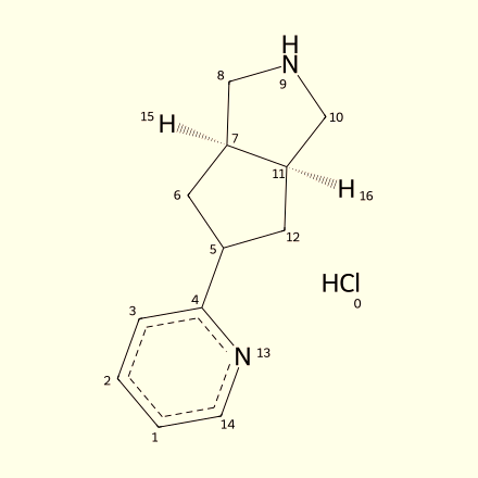 Cl.c1ccc(C2C[C@H]3CNC[C@H]3C2)nc1